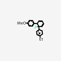 CCC12CCC(C3(F)C=CC=CC3c3ccc(OC)cc3)(CC1)CC2